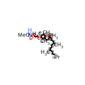 CONC(=O)OCCOc1c(C)c(C)c2c(c1C)CC[C@@](C)(CCC[C@H](C)CCC[C@H](C)CCCC(C)C)O2